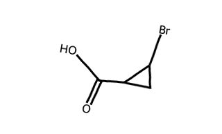 O=C(O)C1CC1Br